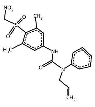 C=CCN(C(=O)Nc1cc(C)c(S(=O)(=O)C[N+](=O)[O-])c(C)c1)c1ccccc1